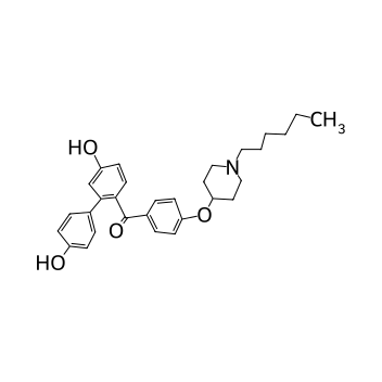 CCCCCCN1CCC(Oc2ccc(C(=O)c3ccc(O)cc3-c3ccc(O)cc3)cc2)CC1